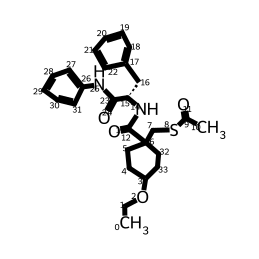 CCOC1CCC(CSC(C)=O)(C(=O)N[C@@H](Cc2ccccc2)C(=O)Nc2ccccc2)CC1